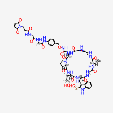 CC[C@H](C)[C@@H]1NC(=O)CNC(=O)[C@@H](Cc2c(SO)[nH]c3ccccc23)NC(=O)[C@H]([C@@H](C)[C@@H](C)CO)NC(=O)[C@@H]2CCCN2C(=O)[C@H](CC(=O)NOCc2ccc(NC(=O)[C@H](C)NC(=O)CNC(=O)CCN3C(=O)C=CC3=O)cc2)NC(=O)C2C=C(CNC1=O)N2